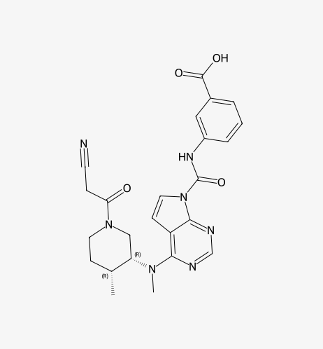 C[C@@H]1CCN(C(=O)CC#N)C[C@@H]1N(C)c1ncnc2c1ccn2C(=O)Nc1cccc(C(=O)O)c1